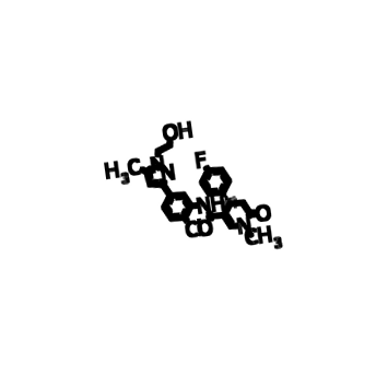 Cc1cc(-c2ccc(Cl)c(NC(=O)C3=CN(C)C(=O)C[C@H]3c3ccc(F)cc3)c2)nn1CCO